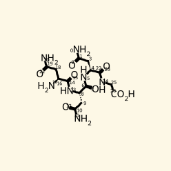 NC(=O)C[C@H](NC(=O)[C@H](CC(N)=O)NC(=O)[C@@H](N)CC(N)=O)C(=O)NCC(=O)O